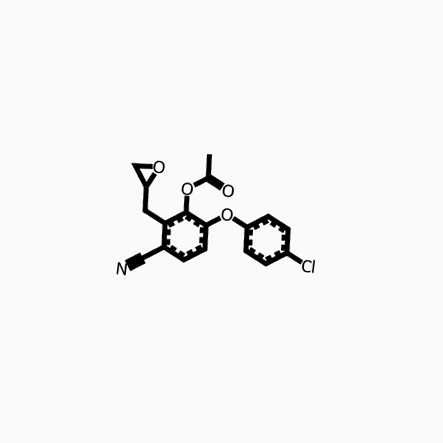 CC(=O)Oc1c(Oc2ccc(Cl)cc2)ccc(C#N)c1CC1CO1